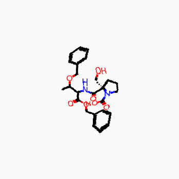 CC(OCc1ccccc1)C(NC(=O)[C@@]1(CO)CCCN1C(=O)O)C(=O)OCc1ccccc1